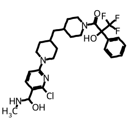 CNC(O)c1ccc(N2CCC(CC3CCN(C(=O)C(O)(c4ccccc4)C(F)(F)F)CC3)CC2)nc1Cl